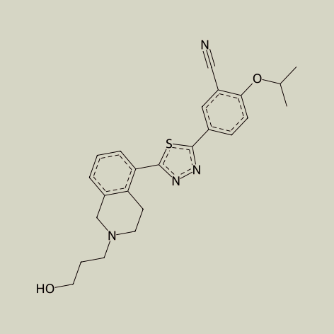 CC(C)Oc1ccc(-c2nnc(-c3cccc4c3CCN(CCCO)C4)s2)cc1C#N